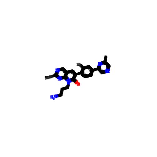 CCc1cc(-c2cncc(C)n2)ccc1-c1cc2cnc(NC)nc2n(CCCN)c1=O